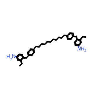 CCc1cc(N)ccc1Cc1ccc(CCCCCCCCCCCc2ccc(Cc3ccc(N)cc3CC)cc2)cc1